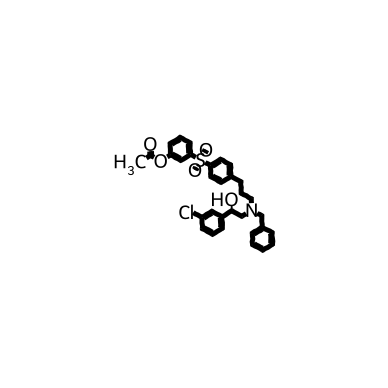 CC(=O)Oc1cccc(S(=O)(=O)c2ccc(CCCN(Cc3ccccc3)C[C@@H](O)c3cccc(Cl)c3)cc2)c1